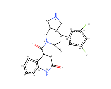 O=C1CC(C(=O)N(CC2CNCC2Cc2cc(F)cc(F)c2)C2CC2)c2ccccc2N1